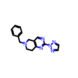 c1ccc(CN2CCc3nc(-n4nccn4)ncc3C2)cc1